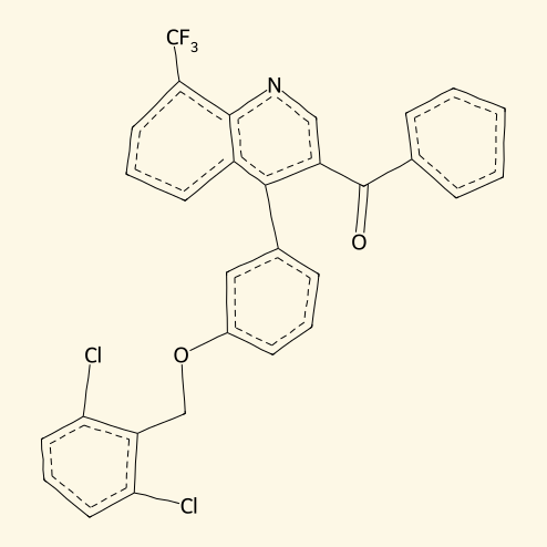 O=C(c1ccccc1)c1cnc2c(C(F)(F)F)cccc2c1-c1cccc(OCc2c(Cl)cccc2Cl)c1